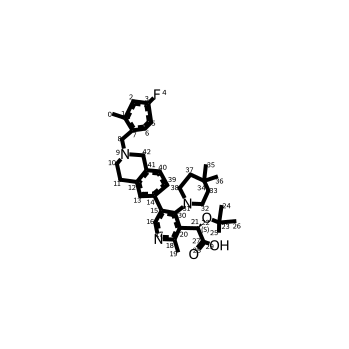 Cc1cc(F)ccc1CN1CCc2cc(-c3cnc(C)c([C@H](OC(C)(C)C)C(=O)O)c3N3CCC(C)(C)CC3)ccc2C1